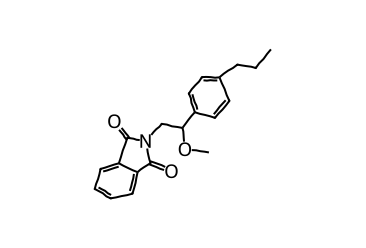 CCCc1ccc(C(CN2C(=O)c3ccccc3C2=O)OC)cc1